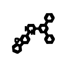 c1ccc(-c2cc(-c3ccccc3)cc(-c3ccnc(-c4ccc5c(c4)oc4ccccc45)n3)c2)cc1